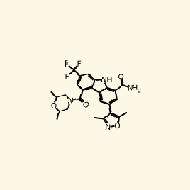 Cc1noc(C)c1-c1cc(C(N)=O)c2[nH]c3cc(C(F)(F)F)cc(C(=O)N4CC(C)OC(C)C4)c3c2c1